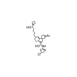 CC(=O)N1CCC2(C1)CN(C(O)NC1=NCC(Cl)S1)C1CCC(CCCCC(O)N3CCC3)C=C12